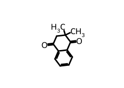 CC1(C)CC(=O)c2ccccc2C1=O